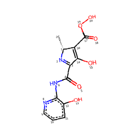 C[C@H]1N=C(C(=O)Nc2ncccc2O)C(O)=C1C(=O)OO